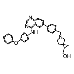 OCC1CC12CCN(Cc1ccc(-c3ccc4ncnc(Nc5ccc(Oc6ccccc6)cc5)c4c3)cc1)C2